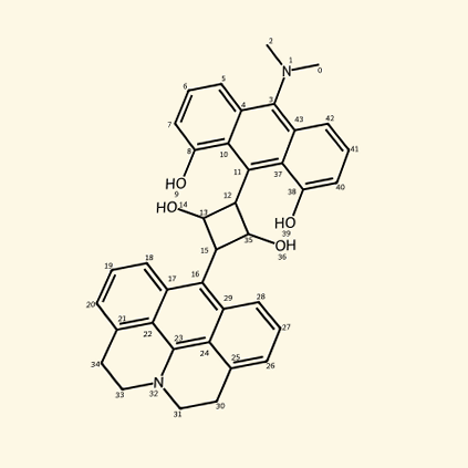 CN(C)c1c2cccc(O)c2c(C2C(O)C(c3c4cccc5c4c4c6c(cccc36)CCN4CC5)C2O)c2c(O)cccc12